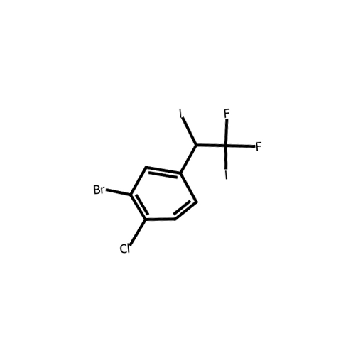 FC(F)(I)C(I)c1ccc(Cl)c(Br)c1